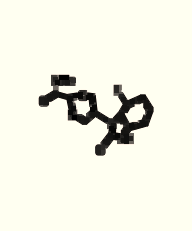 CNC(=O)c1ccc(-n2c(=O)[nH]c3cccc(F)c32)cn1